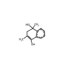 CC1=C(O)c2ccccc2C(C)(O)C1